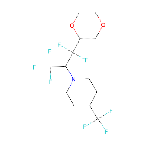 FC(F)(F)C1CCN(C(C(F)(F)F)C(F)(F)C2COCCO2)CC1